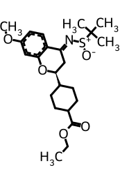 CCOC(=O)C1CCC([C@@H]2CC(=N[S@+]([O-])C(C)(C)C)c3ccc(OC)cc3O2)CC1